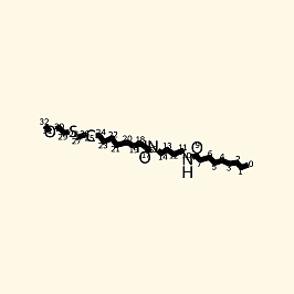 CCCCCCCCC(=O)NCCCCNC(=O)CCCCCCCCCCSCCOC